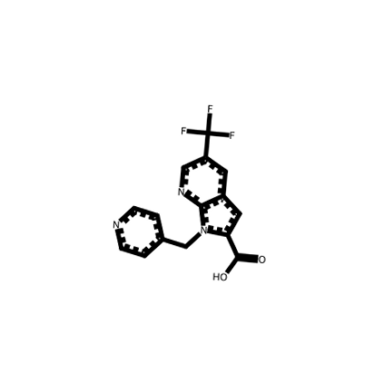 O=C(O)c1cc2cc(C(F)(F)F)cnc2n1Cc1ccncc1